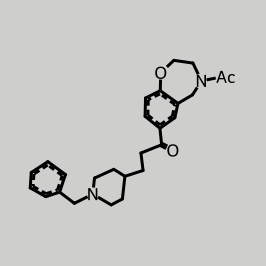 CC(=O)N1CCOc2ccc(C(=O)CCC3CCN(Cc4ccccc4)CC3)cc2C1